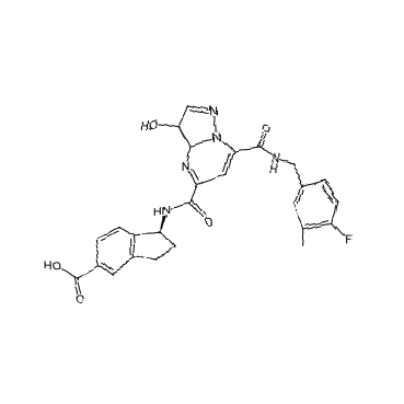 Cc1cc(CNC(=O)C2=CC(C(=O)N[C@H]3CCc4cc(C(=O)O)ccc43)=NC3C(O)C=NN23)ccc1F